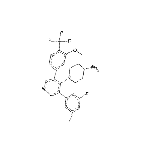 COc1cc(-c2cncc(-c3cc(C)cc(F)c3)c2N2CCC(N)CC2)ccc1C(F)(F)F